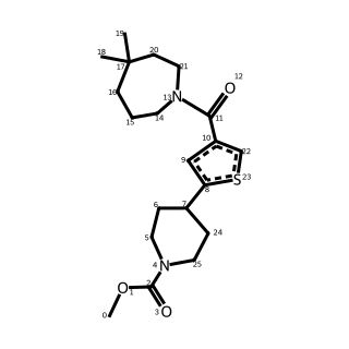 COC(=O)N1CCC(c2cc(C(=O)N3CCCC(C)(C)CC3)cs2)CC1